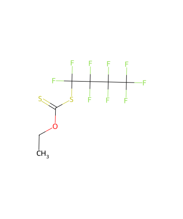 CCOC(=S)SC(F)(F)C(F)(F)C(F)(F)C(F)(F)F